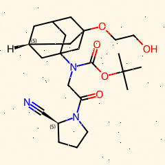 CC(C)(C)OC(=O)N(CC(=O)N1CCC[C@H]1C#N)C12CC3C[C@H](CC(OCCO)(C3)C1)C2